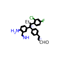 CC/C(=C(/c1ccc(/C=C/C=O)cc1)c1ccc(N)c(C=N)c1)c1ccc(F)cc1Cl